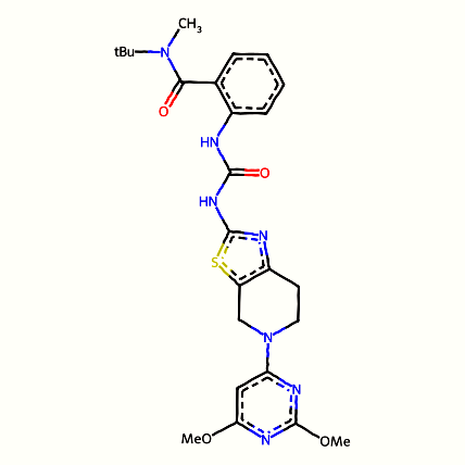 COc1cc(N2CCc3nc(NC(=O)Nc4ccccc4C(=O)N(C)C(C)(C)C)sc3C2)nc(OC)n1